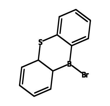 BrB1c2ccccc2SC2C=CC=CC12